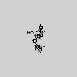 Cc1ccc(S(=O)(=O)n2ccc3nc(-c4cccc(-c5cc([C@]6(O)CCN(C)C6=O)on5)c4)nc(C(=O)O)c32)cc1